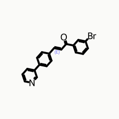 O=C(/C=C/c1ccc(-c2cccnc2)cc1)c1cccc(Br)c1